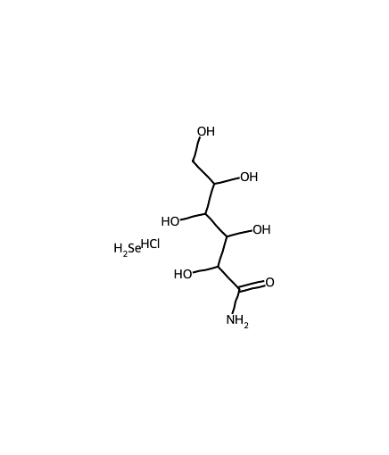 Cl.NC(=O)C(O)C(O)C(O)C(O)CO.[SeH2]